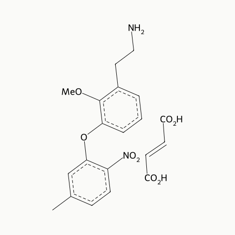 COc1c(CCN)cccc1Oc1cc(C)ccc1[N+](=O)[O-].O=C(O)C=CC(=O)O